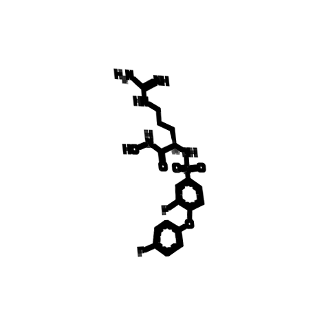 N=C(N)NCCC[C@@H](NS(=O)(=O)c1ccc(Oc2ccc(F)cc2)c(F)c1)C(=O)NO